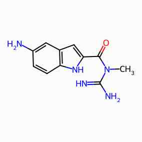 CN(C(=N)N)C(=O)c1cc2cc(N)ccc2[nH]1